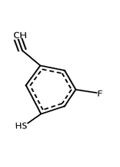 C#Cc1cc(F)cc(S)c1